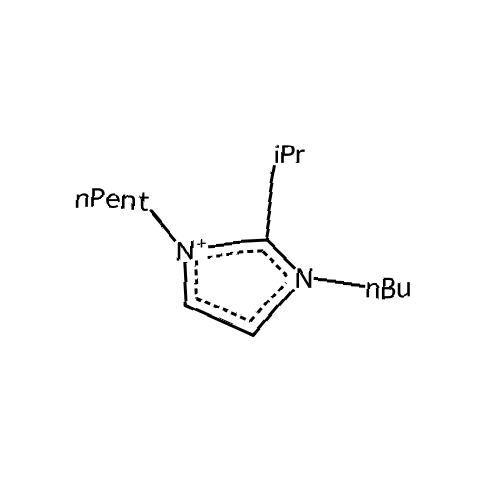 CCCCC[n+]1ccn(CCCC)c1C(C)C